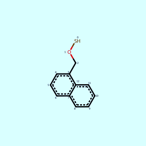 SOCc1cccc2ccccc12